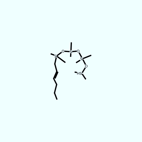 CCCC=CC[Si](C)(C)O[Si](C)(C)O[Si](C)(C)O[SiH](C)C